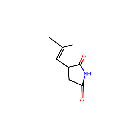 CC(C)=CC1CC(=O)NC1=O